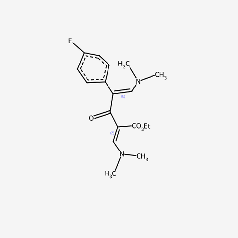 CCOC(=O)/C(=C\N(C)C)C(=O)/C(=C/N(C)C)c1ccc(F)cc1